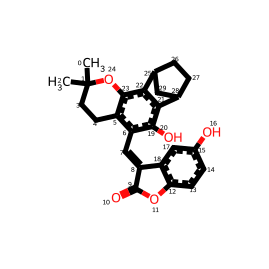 CC1(C)CCc2c(C=C3C(=O)Oc4ccc(O)cc43)c(O)c3c(c2O1)C1CCC3C1